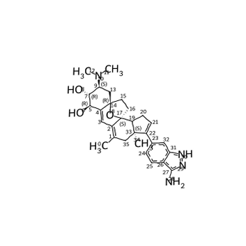 CC1=C2C=C3[C@@H](O)[C@H](O)[C@@H](N(C)C)C[C@]34CC[C@]2(O4)C2CC=C(c3ccc4c(N)n[nH]c4c3)[C@@]2(C)C1